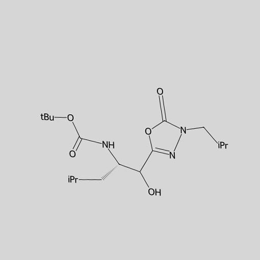 CC(C)C[C@H](NC(=O)OC(C)(C)C)C(O)c1nn(CC(C)C)c(=O)o1